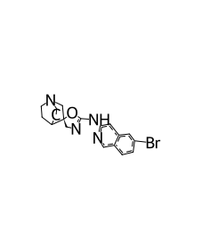 Brc1ccc2cnc(NC3=NC[C@@]4(CN5CCC4CC5)O3)cc2c1